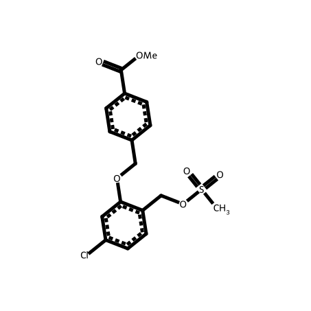 COC(=O)c1ccc(COc2cc(Cl)ccc2COS(C)(=O)=O)cc1